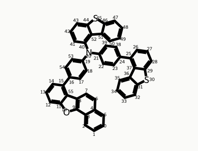 c1ccc2c(c1)ccc1c2oc2cccc(-c3ccc(N(c4ccc(-c5cccc6sc7ccccc7c56)cc4)c4cccc5sc6ccccc6c45)cc3)c21